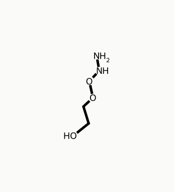 NNOOCCO